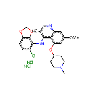 COc1cc(OC2CCN(C)CC2)c2c(Nc3c(Cl)ccc4c3OCO4)c(C#N)cnc2c1.Cl.Cl